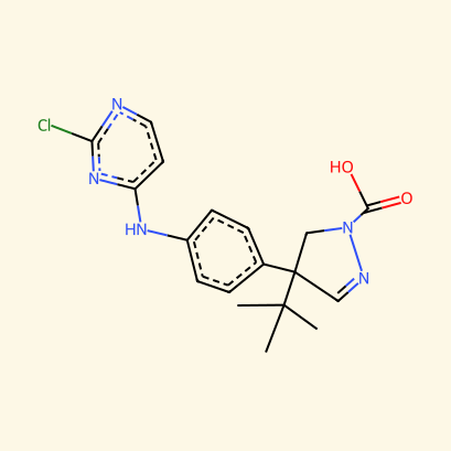 CC(C)(C)C1(c2ccc(Nc3ccnc(Cl)n3)cc2)C=NN(C(=O)O)C1